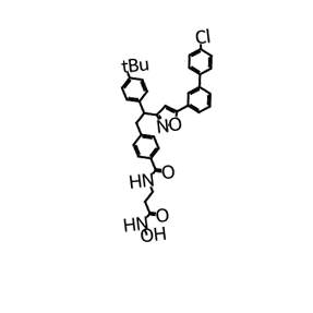 CC(C)(C)c1ccc(C(Cc2ccc(C(=O)NCCC(=O)NO)cc2)c2cc(-c3cccc(-c4ccc(Cl)cc4)c3)on2)cc1